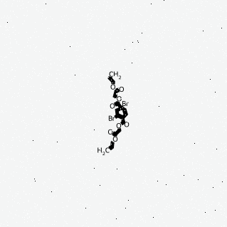 C=CCOC(=O)COC(=O)C1=C(Br)CC(Br)(C(=O)OCC(=O)OCC=C)C=C1